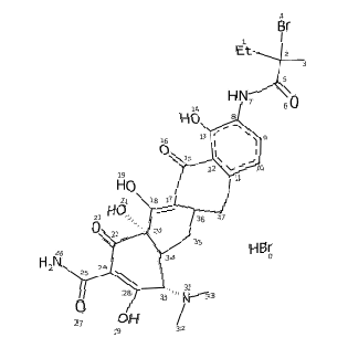 Br.CCC(C)(Br)C(=O)Nc1ccc2c(c1O)C(=O)C1=C(O)[C@]3(O)C(=O)C(C(N)=O)=C(O)[C@@H](N(C)C)C3CC1C2